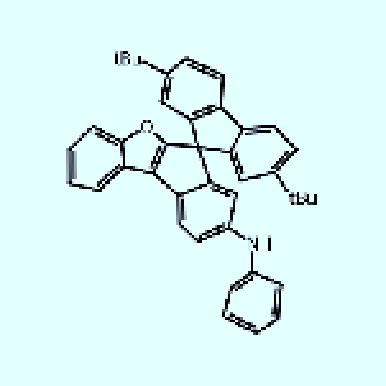 CC(C)(C)c1ccc2c(c1)C1(c3cc(C(C)(C)C)ccc3-2)c2cc(Nc3ccccc3)ccc2-c2c1oc1ccccc21